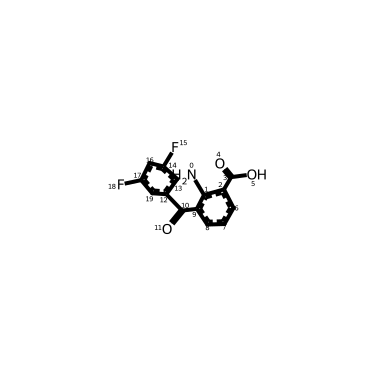 Nc1c(C(=O)O)cccc1C(=O)c1cc(F)cc(F)c1